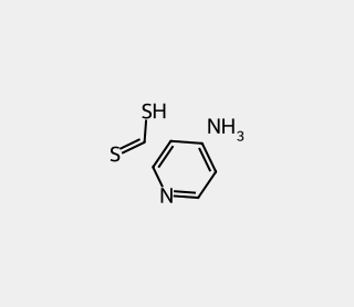 N.S=CS.c1ccncc1